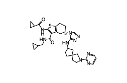 O=C(NCC1CC1)c1c(NC(=O)C2CC2)sc2c1C[C@@H](n1cnnc1NC1CCC3(CCN(c4ncccn4)C3)C1)CC2